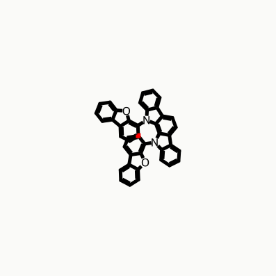 c1ccc2c(c1)oc1c(-n3c4ccccc4c4ccc5c6ccccc6n(-c6cccc7c6oc6ccccc67)c5c43)cccc12